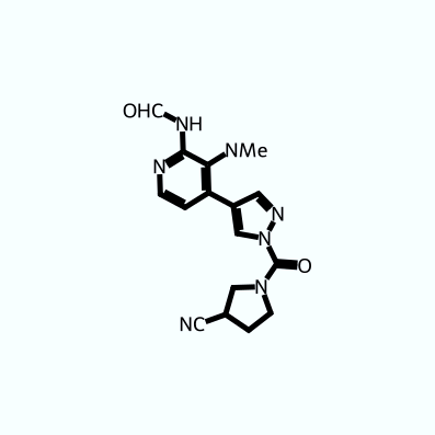 CNc1c(-c2cnn(C(=O)N3CCC(C#N)C3)c2)ccnc1NC=O